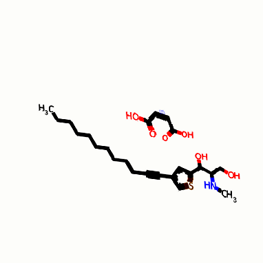 CCCCCCCCCCC#Cc1csc(C(O)C(CO)NC)c1.O=C(O)/C=C\C(=O)O